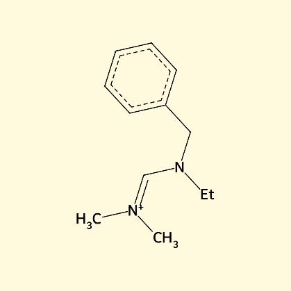 CCN(C=[N+](C)C)Cc1ccccc1